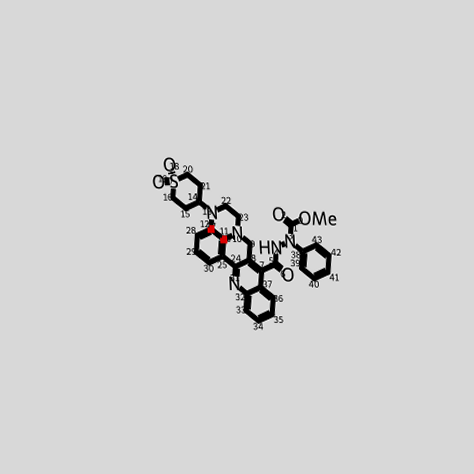 COC(=O)N(NC(=O)c1c(CN2CCN(C3CCS(=O)(=O)CC3)CC2)c(-c2ccccc2)nc2ccccc12)c1ccccc1